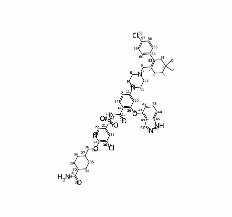 CC1(C)CCC(CN2CCN(c3ccc(C(=O)NS(=O)(=O)c4cnc(OCC5CCC(C(N)=O)CC5)c(Cl)c4)c(Oc4cccc5[nH]ncc45)c3)CC2)=C(c2ccc(Cl)cc2)C1